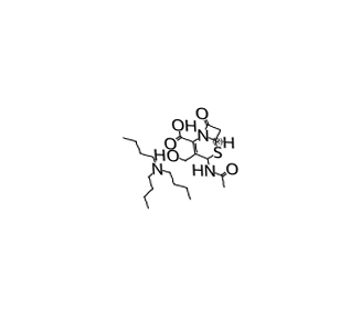 CC(=O)NC1S[C@@H]2CC(=O)N2C(C(=O)O)=C1CO.CCCCN(CCCC)CCCC